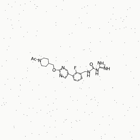 CC(=O)N1CCC(COc2ncc(-c3cccc(CNC(=O)NC(=N)N)c3F)cn2)CC1